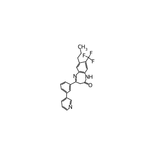 CCCc1cc2c(cc1C(F)(F)F)NC(=O)CC(c1cccc(-c3cccnc3)c1)=N2